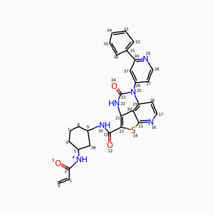 C=CC(=O)NC1CCCC(NC(=O)c2sc3nccc4c3c2NC(=O)N4c2ccnc(-c3ccccc3)c2)C1